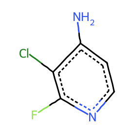 Nc1ccnc(F)c1Cl